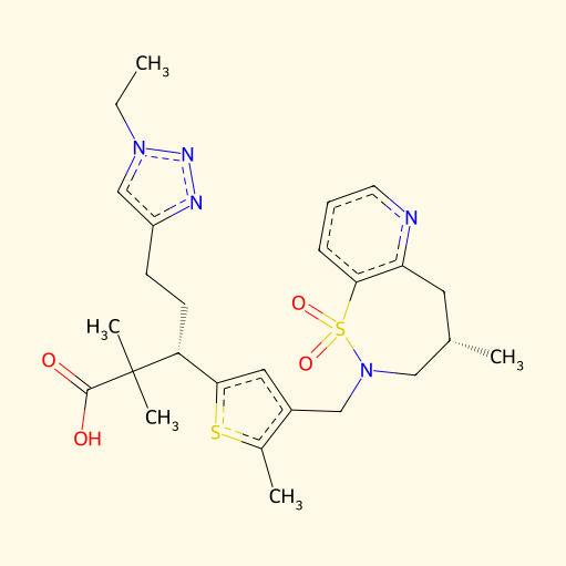 CCn1cc(CC[C@H](c2cc(CN3C[C@@H](C)Cc4ncccc4S3(=O)=O)c(C)s2)C(C)(C)C(=O)O)nn1